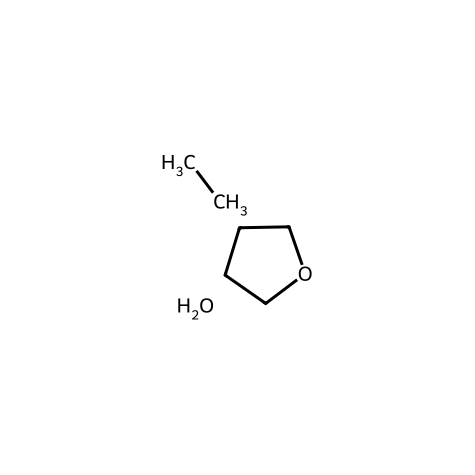 C1CCOC1.CC.O